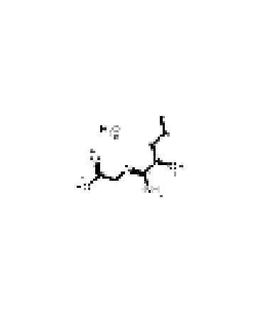 CCCN(O)C(N)=NCC(=O)O.O